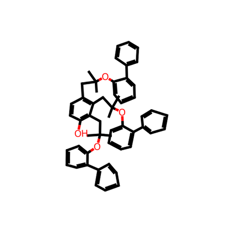 CC(C)(Cc1ccc(O)c(CC(C)(C)Oc2ccccc2-c2ccccc2)c1CC(C)(C)Oc1ccccc1-c1ccccc1)Oc1ccccc1-c1ccccc1